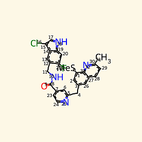 CSc1cc(Cc2cc(C(=O)NCc3cc4c(Cl)c[nH]c4cc3F)ccn2)cc2ccc(C)nc12